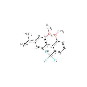 COc1[c]ccc(C(F)(F)F)c1-c1ccc(C(C)C)cc1OC